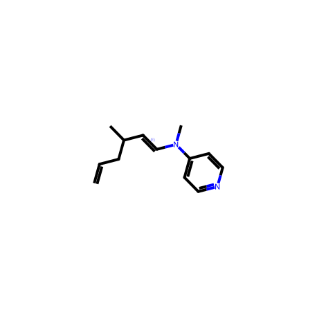 C=CCC(C)/C=C/N(C)c1ccncc1